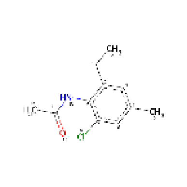 CCc1cc(C)cc(Cl)c1NC(C)=O